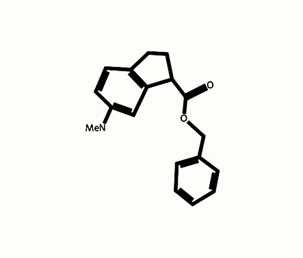 CNc1ccc2c(c1)C(C(=O)OCc1ccccc1)CC2